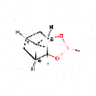 CB1O[C@@H]2C[C@@H]3C[C@@H](C3(C)C)C2(C)O1